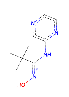 CC(C)(C)/C(=N\O)Nc1cnccn1